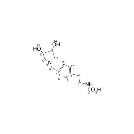 O=C(O)NCCc1ccc(CN2CC(O)C(O)C2)cc1